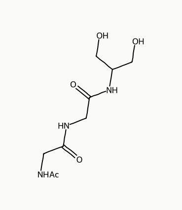 CC(=O)NCC(=O)NCC(=O)NC(CO)CO